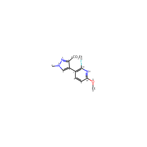 CCOC(=O)c1nn(C)cc1-c1ccc(OCC)nc1F